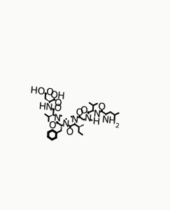 CC[C@H](C)[C@@H](C(=O)N(C)[C@@H](Cc1ccccc1)C(=O)N(C)[C@H](C(=O)N[C@@H](CC(=O)O)C(=O)O)C(C)C)N(C)C(=O)CN(C)C(=O)[C@@H](NC(=O)[C@@H](N)CC(C)C)C(C)C